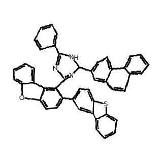 c1ccc(C2=NC(c3c(-c4ccc5sc6ccccc6c5c4)ccc4oc5ccccc5c34)=NC(c3ccc4c(ccc5ccccc54)c3)N2)cc1